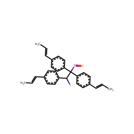 CC=Cc1ccc(C(I)C(P=O)(c2ccc(C=CC)cc2)c2ccc(C=CC)cc2)cc1